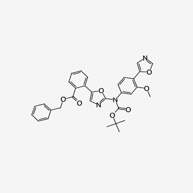 COc1cc(N(C(=O)OC(C)(C)C)c2ncc(-c3ccccc3C(=O)OCc3ccccc3)o2)ccc1-c1cnco1